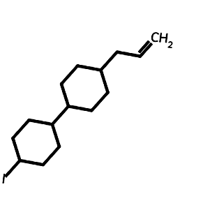 C=CCC1CCC(C2CCC(I)CC2)CC1